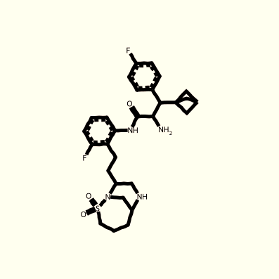 NC(C(=O)Nc1cccc(F)c1CCC1CNC2CCCS(=O)(=O)N1C2)C(c1ccc(F)cc1)C12CC(C1)C2